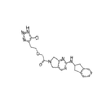 O=C(COCCc1nn[nH]c1Cl)N1Cc2cnc(NC3Cc4ccccc4C3)nc2C1